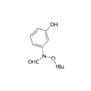 CC(C)(C)ON(C=O)c1cccc(O)c1